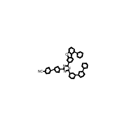 N#Cc1ccc(-c2ccc(-c3nc(-c4cccc(-c5cccc(-c6ccccc6)c5)c4)nc(-c4ccc5c(c4)oc4cccc(-c6ccccc6)c45)n3)cc2)cc1